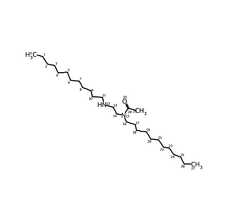 CCCCCCCCCCCCNCCN(CCCCCCCCCCCC)C(C)=O